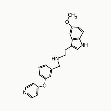 COc1ccc2[nH]cc(CCNCc3cccc(Oc4ccncc4)c3)c2c1